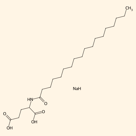 CCCCCCCCCCCCCCCCCC(=O)NC(CCC(=O)O)C(=O)O.[NaH]